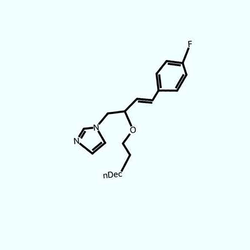 CCCCCCCCCCCCOC(C=Cc1ccc(F)cc1)Cn1ccnc1